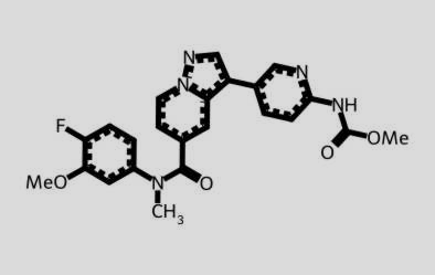 COC(=O)Nc1ccc(-c2cnn3ccc(C(=O)N(C)c4ccc(F)c(OC)c4)cc23)cn1